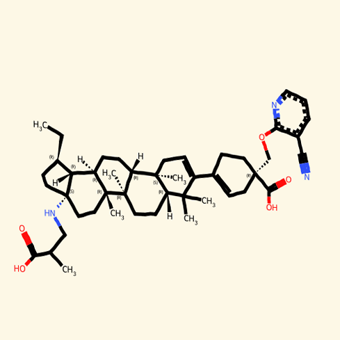 CC[C@@H]1CC[C@]2(NCC(C)C(=O)O)CC[C@]3(C)[C@H](CC[C@@H]4[C@@]5(C)CC=C(C6=CC[C@](COc7ncccc7C#N)(C(=O)O)CC6)C(C)(C)[C@@H]5CC[C@]43C)[C@@H]12